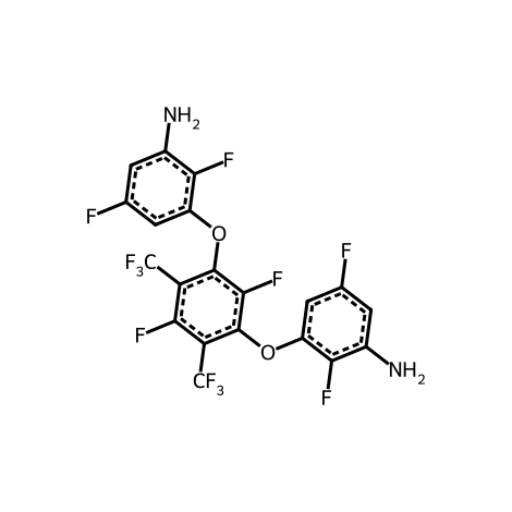 Nc1cc(F)cc(Oc2c(F)c(Oc3cc(F)cc(N)c3F)c(C(F)(F)F)c(F)c2C(F)(F)F)c1F